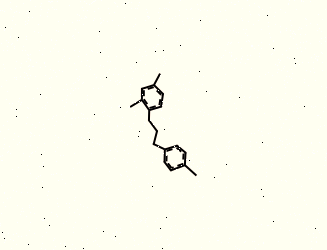 Cc1ccc(CCCc2ccc(C)cc2C)cc1